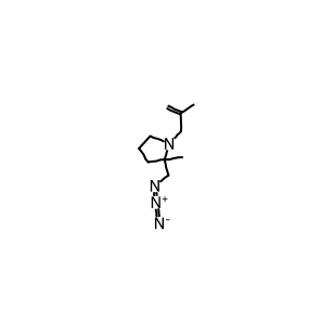 C=C(C)CN1CCCC1(C)CN=[N+]=[N-]